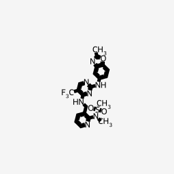 Cc1nc2cc(Nc3ncc(C(F)(F)F)c(NCc4cccnc4N(C)S(C)(=O)=O)n3)ccc2o1